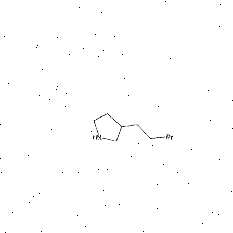 CC(C)CC[C]1CCNC1